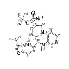 CC(C)c1coc2ccc(CNc3cnccc3N3C[C@H](C)C[C@H](NC(=O)OC(C)(C)C)C3)nc12